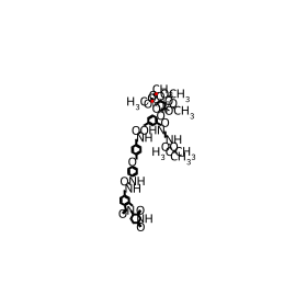 COC(=O)[C@H]1O[C@@H](Oc2ccc(COC(=O)NCc3ccc(COc4ccc(NC(=O)NCc5ccc6c(c5)CN(C5CCC(=O)NC5=O)C6=O)cc4)cc3)cc2C(=O)NCCNC(=O)OC(C)(C)C)[C@H](OC(C)=O)[C@@H](OC(C)=O)[C@@H]1OC(C)=O